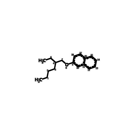 CCCCC(CC)COc1[c]c2ccccc2cc1